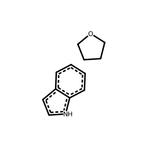 C1CCOC1.c1ccc2[nH]ccc2c1